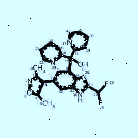 Cc1noc(C)c1-c1cc(C(O)(c2ccccn2)c2ccccn2)c2nc(C(F)F)[nH]c2c1